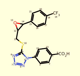 O=C(O)c1ccc(-n2nnnc2SCC2OC2c2ccc(C(F)(F)F)cc2)cc1